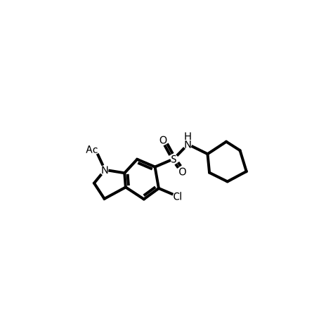 CC(=O)N1CCc2cc(Cl)c(S(=O)(=O)NC3CCCCC3)cc21